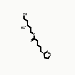 O=C(CCCC[C@@H]1CCSS1)OCC[C@H](O)CCO